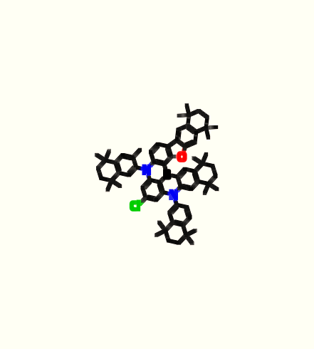 Cc1cc2c(cc1N1c3cc(Cl)cc4c3B(c3cc5c(cc3N4c3ccc4c(c3)C(C)(C)CCC4(C)C)C(C)(C)CCC5(C)C)c3c1ccc1c3oc3cc4c(cc31)C(C)(C)CCC4(C)C)C(C)(C)CCC2(C)C